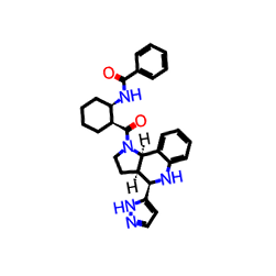 O=C(N[C@@H]1CCCC[C@@H]1C(=O)N1CC[C@@H]2[C@H](c3ccn[nH]3)Nc3ccccc3[C@@H]21)c1ccccc1